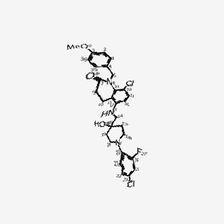 COc1ccc(CN2C(=O)CCc3c(NCC4(O)CCN(c5ccc(Cl)cc5F)CC4)ccc(Cl)c32)cc1